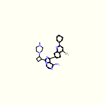 CN1CCN(C2CCC2c2nc(-c3ccc4c(C(F)(F)F)cc(-c5ccccc5)nc4c3)c3c(N)nccn23)CC1